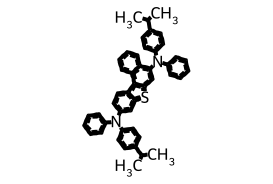 CC(C)c1ccc(N(c2ccccc2)c2ccc3c(c2)sc2cc(N(c4ccccc4)c4ccc(C(C)C)cc4)c4ccccc4c23)cc1